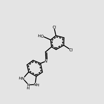 Oc1c(Cl)cc(Cl)cc1/C=N/c1ccc2c(c1)NNN2